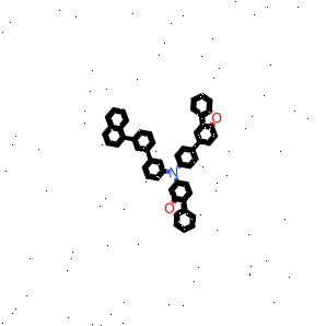 c1cc(-c2cccc(N(c3ccc(-c4ccc5oc6ccccc6c5c4)cc3)c3ccc4c(c3)oc3ccccc34)c2)cc(-c2cccc3ccccc23)c1